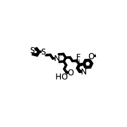 COc1ccc2nccc([C@@H](F)CCC3CCN(CCCSc4ccsc4)CC3CCC(=O)O)c2c1